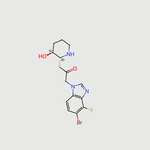 O=C(C[C@H]1NCCC[C@@H]1O)Cn1cnc2c(F)c(Br)ccc21